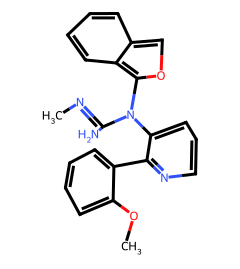 CN=C(N)N(c1cccnc1-c1ccccc1OC)c1occ2ccccc12